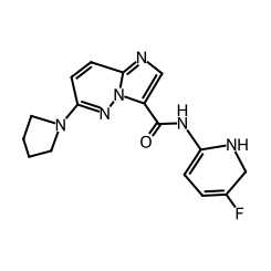 O=C(NC1=CC=C(F)CN1)c1cnc2ccc(N3CCCC3)nn12